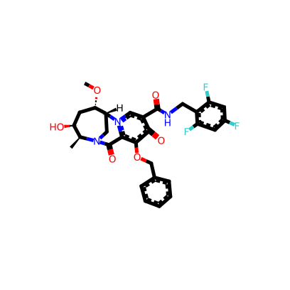 CO[C@H]1C[C@H](O)[C@H](C)N2C[C@H]1n1cc(C(=O)NCc3c(F)cc(F)cc3F)c(=O)c(OCc3ccccc3)c1C2=O